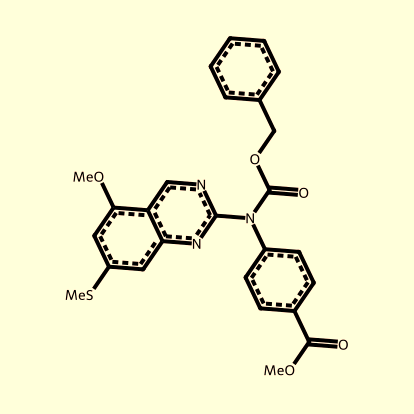 COC(=O)c1ccc(N(C(=O)OCc2ccccc2)c2ncc3c(OC)cc(SC)cc3n2)cc1